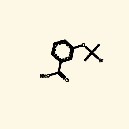 COC(=O)c1cccc(OC(C)(C)Br)c1